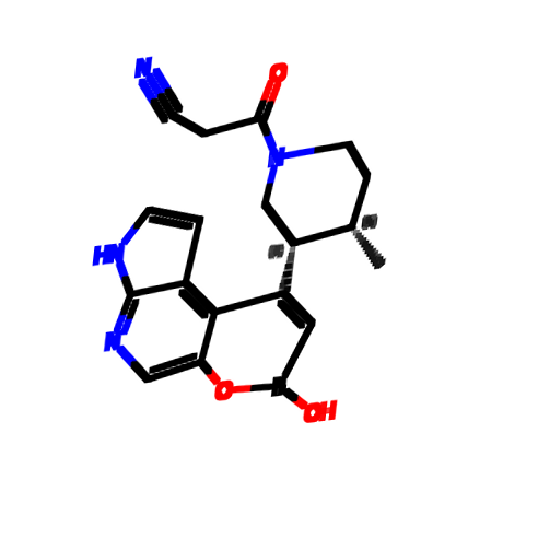 C[C@H]1CCN(C(=O)CC#N)C[C@H]1C1=CB(O)Oc2cnc3[nH]ccc3c21